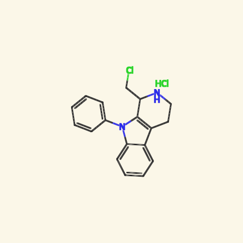 Cl.ClCC1NCCc2c1n(-c1ccccc1)c1ccccc21